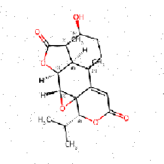 CC(C)[C@H]1OC(=O)C=C2C13O[C@@H]3[C@H]1OC(=O)[C@@]3(C)[C@@H](O)CC[C@@]2(C)[C@@H]13